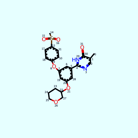 Cc1cnc(-c2cc(Oc3ccc(S(C)(=O)=O)cc3)cc(OC3CCCOC3)c2)[nH]c1=O